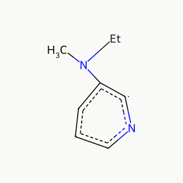 CCN(C)c1[c]nccc1